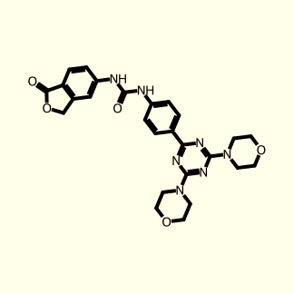 O=C(Nc1ccc(-c2nc(N3CCOCC3)nc(N3CCOCC3)n2)cc1)Nc1ccc2c(c1)COC2=O